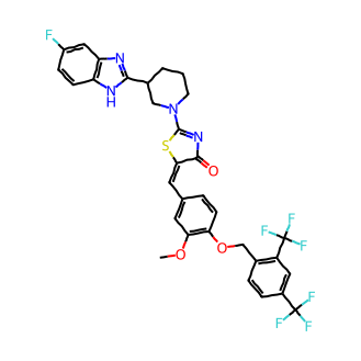 COc1cc(/C=C2/SC(N3CCCC(c4nc5cc(F)ccc5[nH]4)C3)=NC2=O)ccc1OCc1ccc(C(F)(F)F)cc1C(F)(F)F